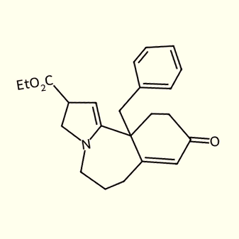 CCOC(=O)C1C=C2N(CCCC3=CC(=O)CCC32Cc2ccccc2)C1